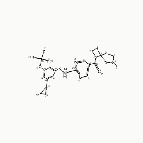 CN1CCC2(CCN2C(=O)c2cnc(NCc3cc(OC(F)(F)F)cc(C4CC4)c3)nc2)C1